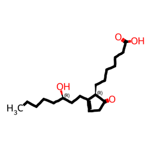 CCCCC[C@@H](O)CCC1=CCC(=O)[C@@H]1CCCCCCC(=O)O